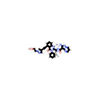 CC(NC(=O)c1c(N)nn2cccnc12)c1nc2cccc(C#Cc3cnn(CCO)c3)c2c(=O)n1-c1ccccc1